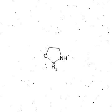 C1CO[SiH2]N1